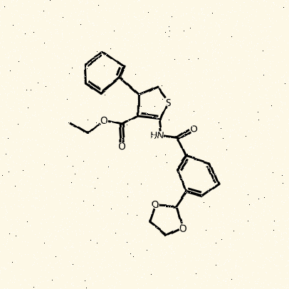 CCOC(=O)C1=C(NC(=O)c2cccc(C3OCCO3)c2)SCC1c1ccccc1